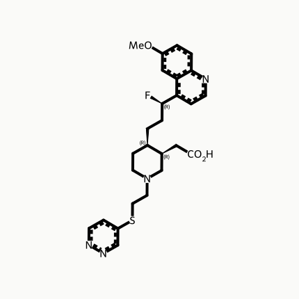 COc1ccc2nccc([C@H](F)CC[C@@H]3CCN(CCSc4ccnnc4)C[C@@H]3CC(=O)O)c2c1